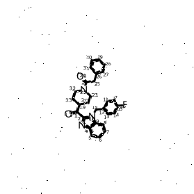 O=C(c1nc2ccccc2n1Cc1ccc(F)cc1)C1CCN(C(=O)Cc2ccccc2)CC1